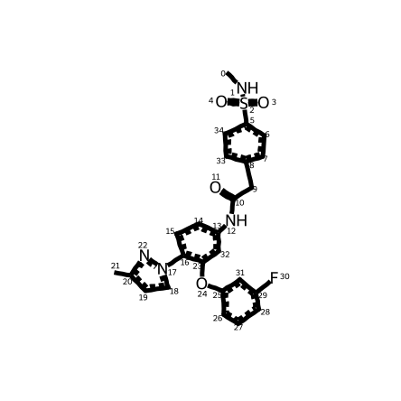 CNS(=O)(=O)c1ccc(CC(=O)Nc2ccc(-n3ccc(C)n3)c(Oc3cccc(F)c3)c2)cc1